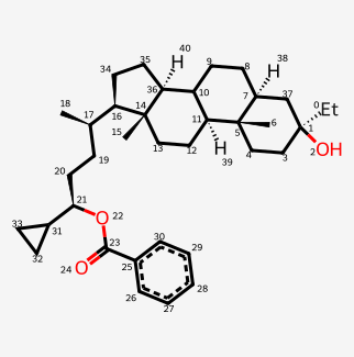 CC[C@]1(O)CC[C@@]2(C)[C@@H](CCC3[C@@H]2CC[C@]2(C)[C@@H]([C@H](C)CC[C@@H](OC(=O)c4ccccc4)C4CC4)CC[C@@H]32)C1